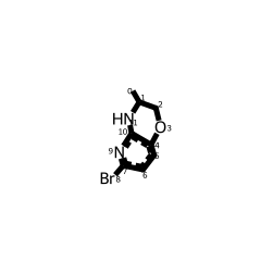 CC1COc2ccc(Br)nc2N1